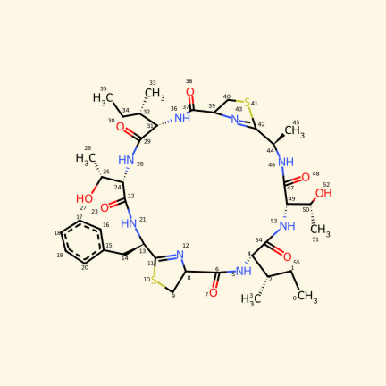 CC[C@H](C)[C@@H]1NC(=O)C2CSC(=N2)[C@@H](Cc2ccccc2)NC(=O)[C@H]([C@@H](C)O)NC(=O)[C@H]([C@@H](C)CC)NC(=O)C2CSC(=N2)[C@@H](C)NC(=O)[C@H]([C@@H](C)O)NC1=O